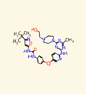 Cc1nc(Nc2ccc(Oc3ccc(NC(=O)Nc4cc(C(C)(C)C)no4)cc3)cn2)nc(N2CCN(CCO)CC2)n1